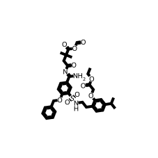 CCOC(=O)COc1cc(C(C)C)ccc1CCNS(=O)(=O)c1cc(C(N)=NC(=O)CC(C)(C)C(=O)OC=O)ccc1OCc1ccccc1